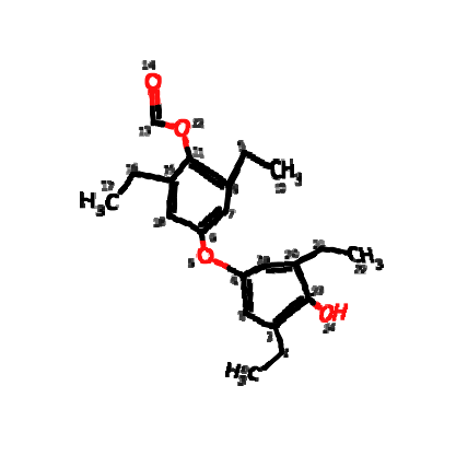 CCc1cc(Oc2cc(CC)c(OC=O)c(CC)c2)cc(CC)c1O